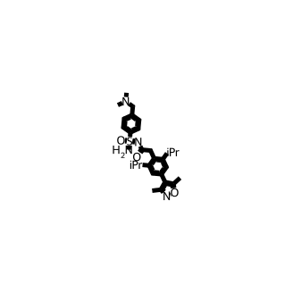 Cc1noc(C)c1-c1cc(C(C)C)c(CC(=O)N=S(N)(=O)c2ccc(CN(C)C)cc2)c(C(C)C)c1